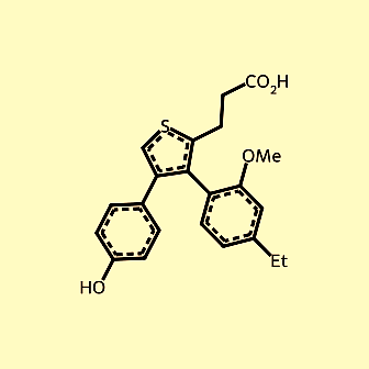 CCc1ccc(-c2c(-c3ccc(O)cc3)csc2CCC(=O)O)c(OC)c1